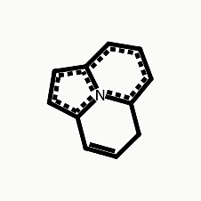 C1=Cc2ccc3cccc(n23)C1